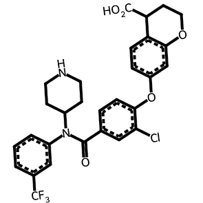 O=C(O)C1CCOc2cc(Oc3ccc(C(=O)N(c4cccc(C(F)(F)F)c4)C4CCNCC4)cc3Cl)ccc21